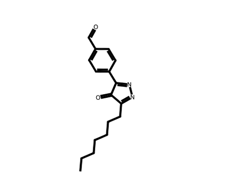 CCCCCCCC1=NN=C(c2ccc(C=O)cc2)C1=O